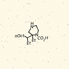 CCCCCCCCC(CC)C1(CC)CNCCN1C(=O)O